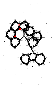 c1ccc(-c2ccccc2N(c2cccc(-n3c4ccccc4c4ccccc43)c2)c2ccccc2-c2cccc3oc4cc5ccccc5cc4c23)cc1